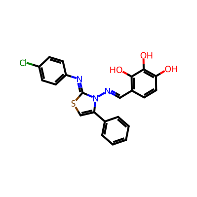 Oc1ccc(/C=N/n2c(-c3ccccc3)cs/c2=N\c2ccc(Cl)cc2)c(O)c1O